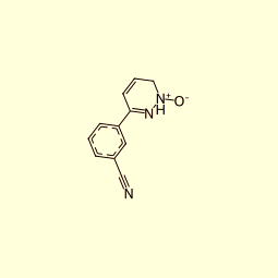 N#Cc1cccc(C2=N[NH+]([O-])CC=C2)c1